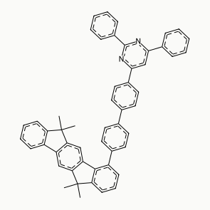 CC1(C)c2ccccc2-c2cc3c(cc21)-c1c(-c2ccc(-c4ccc(-c5cc(-c6ccccc6)nc(-c6ccccc6)n5)cc4)cc2)cccc1C3(C)C